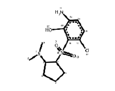 CN(C)C1CCCC1S(=O)(=O)c1c(Cl)ccc(N)c1O